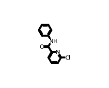 O=C(Nc1ccccc1)c1cccc(Cl)n1